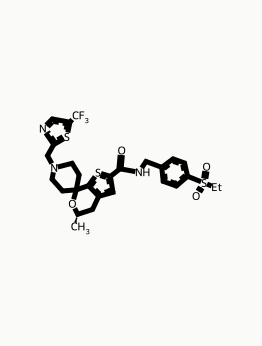 CCS(=O)(=O)c1ccc(CNC(=O)c2cc3c(s2)C2(CCN(Cc4ncc(C(F)(F)F)s4)CC2)O[C@@H](C)C3)cc1